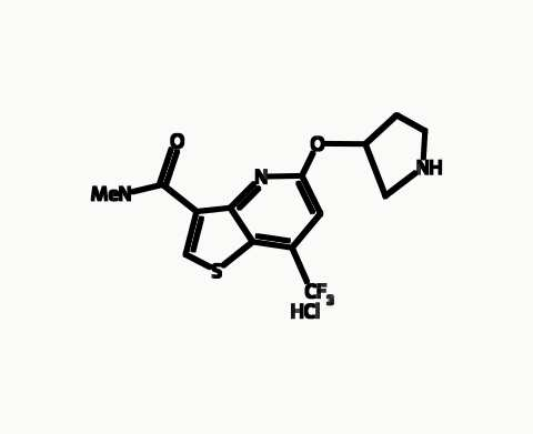 CNC(=O)c1csc2c(C(F)(F)F)cc(OC3CCNC3)nc12.Cl